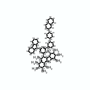 Bc1c(B)c(B)c2c(sc3c4c(B)c(B)c(B)c(B)c4c(B)c(-c4nc(-c5cccc(-c6ccc(-c7ccc8ccccc8c7)cc6)c5)nc(-n5c6ccccc6c6ccccc65)n4)c32)c1B